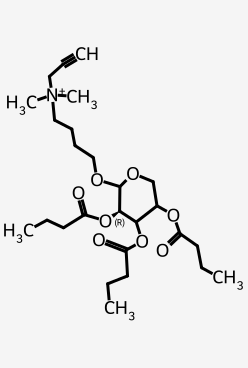 C#CC[N+](C)(C)CCCCOC1OCC(OC(=O)CCC)C(OC(=O)CCC)[C@H]1OC(=O)CCC